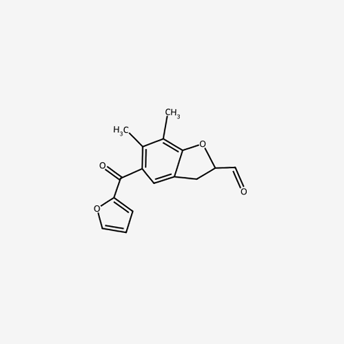 Cc1c(C(=O)c2ccco2)cc2c(c1C)OC(C=O)C2